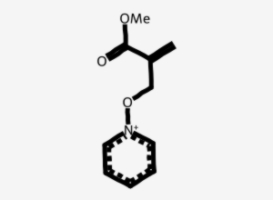 C=C(CO[n+]1ccccc1)C(=O)OC